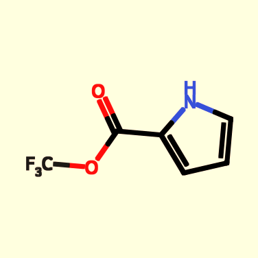 O=C(OC(F)(F)F)c1ccc[nH]1